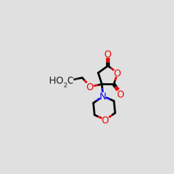 O=C(O)COC1(N2CCOCC2)CC(=O)OC1=O